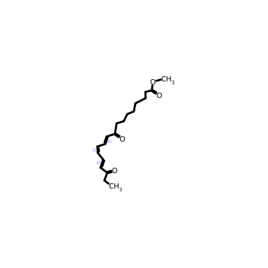 CCC(=O)/C=C/C=C\C=C\C(=O)CCCCCCCC(=O)OC